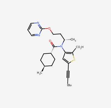 C[C@@H](CCOc1ncccn1)N(c1cc(C#CC(C)(C)C)sc1C(=O)O)C(=O)[C@H]1CC[C@H](C)CC1